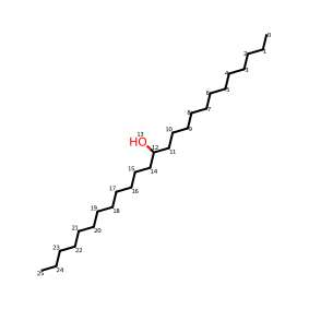 CCCCCCCCCCCCC(O)CCCCCCCCCCCC